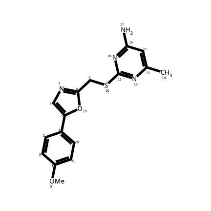 COc1ccc(-c2cnc(CSc3nc(C)cc(N)n3)o2)cc1